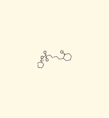 O=C1CCCCC1CCCCS(=O)(=O)O[S+]1CCCC1